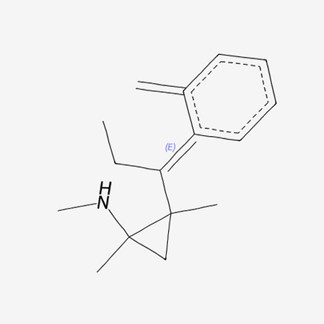 C=c1cccc/c1=C(/CC)C1(C)CC1(C)NC